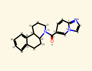 O=C(c1ccc2nccn2c1)N1CCCC2c3ccccc3CCC21